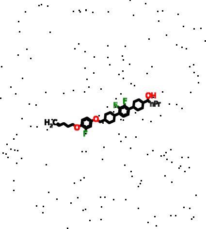 C=CCCCOc1ccc(OCC2CCC(c3ccc(C4CCC(C(O)CCC)CC4)c(F)c3F)CC2)cc1F